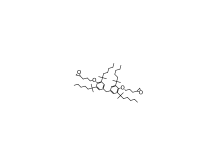 CCCCCC(C)(C)c1cc(Cc2cc(C(C)(C)CCCCC)c(OCCCC3CO3)c(C(C)(C)CCCCC)c2)cc(C(C)(C)CCCCC)c1OCCCC1CO1